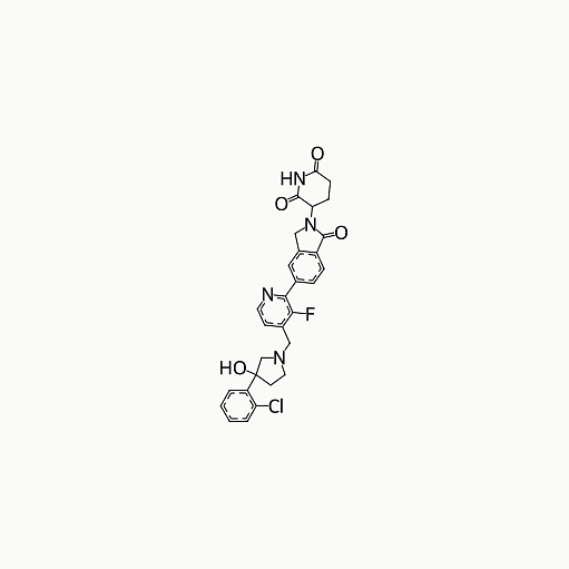 O=C1CCC(N2Cc3cc(-c4nccc(CN5CCC(O)(c6ccccc6Cl)C5)c4F)ccc3C2=O)C(=O)N1